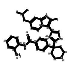 Cc1nc2cc(CN(C)C)ccn2c1-c1csc(C2(c3ccc(C(=O)Nc4ccccc4N)cc3)CCOCC2)n1